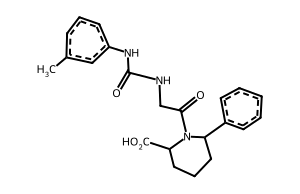 Cc1cccc(NC(=O)NCC(=O)N2C(C(=O)O)CCCC2c2ccccc2)c1